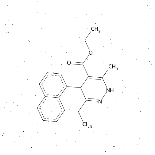 CCOC(=O)C1=C(C)NN=C(CC)C1c1cccc2ccccc12